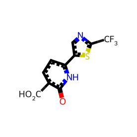 O=C(O)c1ccc(-c2cnc(C(F)(F)F)s2)[nH]c1=O